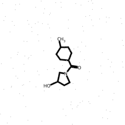 CC1CCC(C(=O)N2CCC(O)C2)CC1